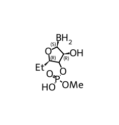 B[C@@H]1O[C@H](CC)C(OP(=O)(O)OC)[C@@H]1O